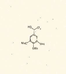 COc1cc(C(O)C(F)(F)F)cc(O)c1OC